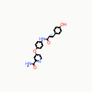 CNC(=O)c1cc(Oc2ccc(NC(=O)/C=C/c3ccc(O)cc3)cc2)ccn1